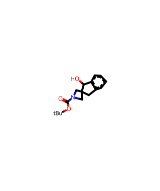 CC(C)(C)OC(=O)N1CC2(Cc3ccccc3C2O)C1